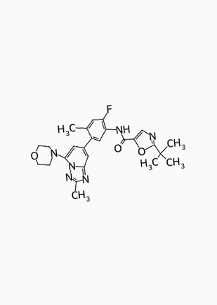 Cc1nc2cc(-c3cc(NC(=O)c4cnc(C(C)(C)C)o4)c(F)cc3C)cc(N3CCOCC3)n2n1